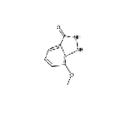 COc1cccc2c(=O)[nH][nH]c12